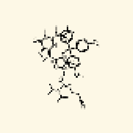 COc1ccc(C(O[C@@H]2[C@H](OC)[C@@H](COP(OCCC#N)N(C(C)C)C(C)C)O[C@H]2c2snc3c(=O)[nH]c(NC(=O)C(C)C)nc23)(c2ccccc2)c2ccc(OC)cc2)cc1